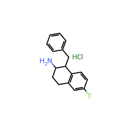 Cl.NC1CCc2cc(F)ccc2C1Cc1ccccc1